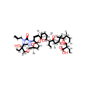 C=CCNC(=O)NC1C=C[C@]2(O[C@H](C(CC)C(=O)[C@@H](C)[C@@H](O)C3(C)C[C@]34O[C@@H]([C@@H](CC)C(=O)O)CC[C@@H]4C)[C@@H](C)C[C@H]2C)O[C@@]12CC[C@@](C)([C@H]1CC[C@](O)(CC)[C@H](C)O1)O2